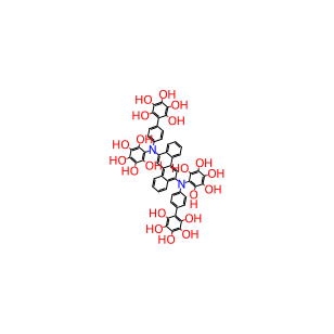 Oc1c(O)c(O)c(-c2ccc(N(c3c(O)c(O)c(O)c(O)c3O)c3cc4c5ccccc5c(N(c5ccc(-c6c(O)c(O)c(O)c(O)c6O)cc5)c5c(O)c(O)c(O)c(O)c5O)cc4c4ccccc34)cc2)c(O)c1O